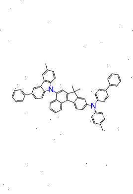 Cc1ccc(N(c2ccc(-c3ccccc3)cc2)c2ccc3c(c2)C(C)(C)c2cc(-n4c5ccc(C)cc5c5cc(-c6ccccc6)ccc54)c4ccccc4c2-3)cc1